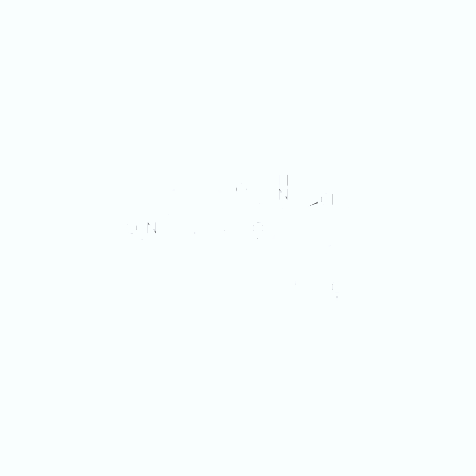 C[C@H](NC(=O)Oc1ccc([N+](=O)[O-])cc1)c1cccc(Cl)c1